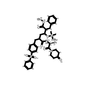 CCCC[Si](C)(C)OC(CC(Cc1ccc(S(=O)(=O)c2ccccc2)cc1)C(=O)N[C@H](C(=O)N1CCC(=O)CC1)C(C)C)C(Cc1ccccc1)C(=O)OC(C)(C)C